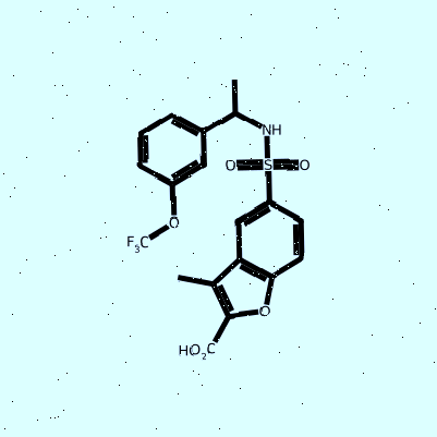 Cc1c(C(=O)O)oc2ccc(S(=O)(=O)NC(C)c3cccc(OC(F)(F)F)c3)cc12